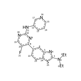 CCN(CC)c1nc2cc(-c3nc(Nc4cc[c]nc4)ncc3F)ccc2s1